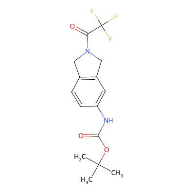 CC(C)(C)OC(=O)Nc1ccc2c(c1)CN(C(=O)C(F)(F)F)C2